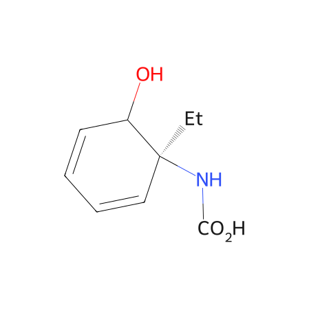 CC[C@]1(NC(=O)O)C=CC=CC1O